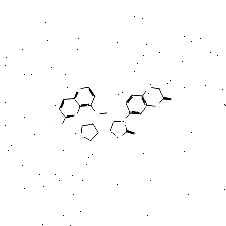 COc1ccc2nccc(N(C[C@H]3COC(=O)N3c3ccc4c(c3)NC(=O)CO4)[C@@H]3CCNC3)c2n1